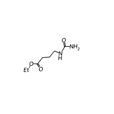 CCOC(=O)CCCNC(N)=O